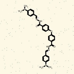 CN(C)c1ccc(/C=N/NC(=O)c2ccc(Oc3ccc(C(=O)N/N=C/c4ccc(N(C)C)cc4)cc3)cc2)cc1